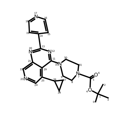 CC(C)(C)OC(=O)N1CCN(c2nc(-c3ccncc3)nc3cncc(C4CC4)c23)CC1